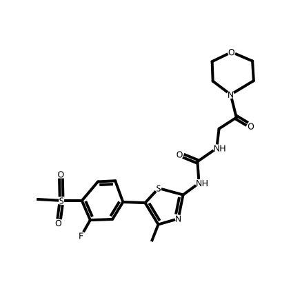 Cc1nc(NC(=O)NCC(=O)N2CCOCC2)sc1-c1ccc(S(C)(=O)=O)c(F)c1